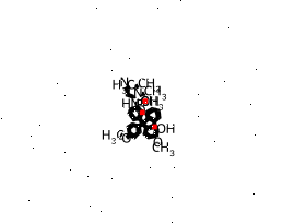 COc1ccc(C(c2ccccc2)(c2ccc(OC)cc2)c2c(CO)cccc2OP(O)NC(CC#N)N(C(C)C)C(C)C)cc1